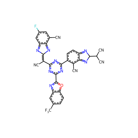 N#C/C(=C1\N=c2cc(F)cc(C#N)c2=N1)c1nc(-c2nc3cc(C(F)(F)F)ccc3o2)nc(-c2ccc3c(c2C#N)=NC(C(C#N)C#N)N=3)n1